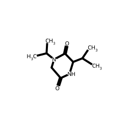 CC(C)C1NC(=O)CN(C(C)C)C1=O